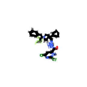 O=C(NCC1(c2ccccc2)CCN(C(Cc2ccccc2)C(F)(F)F)CC1)c1cc(Cl)nc(Cl)n1